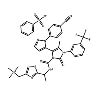 Cc1c(-c2ccnn2-c2ccc(C#N)cc2)n(C(=O)NC(C)c2nc(C[N+](C)(C)C)cs2)c(=O)n1-c1cccc(C(F)(F)F)c1.O=S(=O)([O-])c1ccccc1